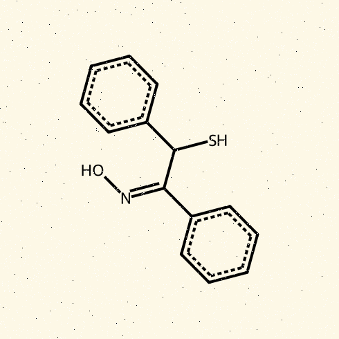 ON=C(c1ccccc1)C(S)c1ccccc1